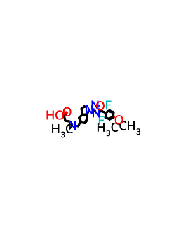 CC(C)Oc1cc(F)c(-c2nc(N3CCc4cc(CN(C)CCC(=O)O)ccc43)no2)c(F)c1